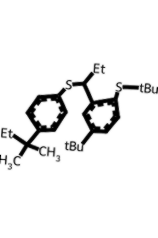 CCC(Sc1ccc(C(C)(C)CC)cc1)c1cc(C(C)(C)C)ccc1SC(C)(C)C